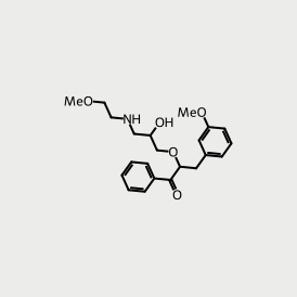 COCCNCC(O)COC(Cc1cccc(OC)c1)C(=O)c1ccccc1